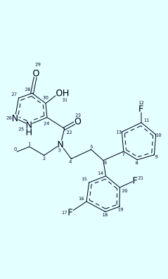 CCCN(CCC(c1cccc(F)c1)c1cc(F)ccc1F)C(=O)c1[nH]ncc(=O)c1O